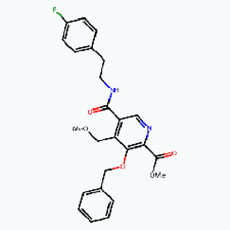 COCc1c(C(=O)NCCc2ccc(F)cc2)cnc(C(=O)OC)c1OCc1ccccc1